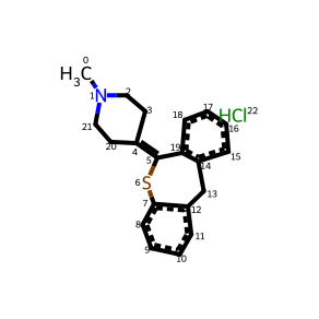 CN1CCC(=C2Sc3ccccc3Cc3ccccc32)CC1.Cl